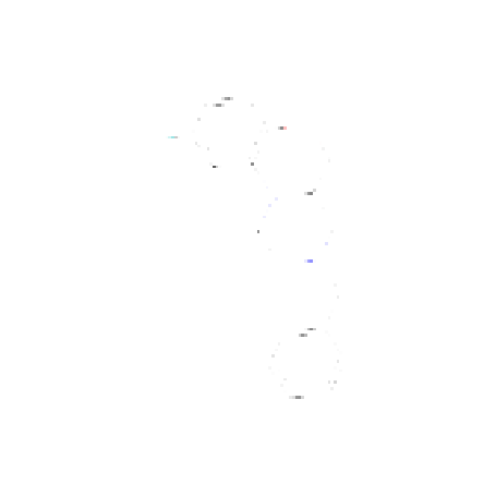 Fc1ccc2c(c1)N1CCN(Cc3ccccc3)CC1CO2